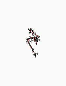 C/C=C/C1=CN2C(=O)c3cc(OC)c(OCCCOc4cc5c(cc4OC)C(=O)N4C=C(CC)C[C@H]4C=N5)cc3N(C(=O)OCc3ccc(NC(=O)[C@H](C)NC(=O)[C@@H](NC(=O)CCOCCOCCOCCOCCNC(=O)CI)C(C)C)cc3)[C@@H](O)[C@@H]2C1